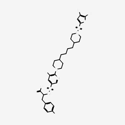 O=C(O)C(Cc1ccc(F)cc1)NS(=O)(=O)c1cnc(N2CCC(CCCCC3CCN(S(=O)(=O)c4cc(Br)c(Cl)s4)CC3)CC2)c(Br)c1